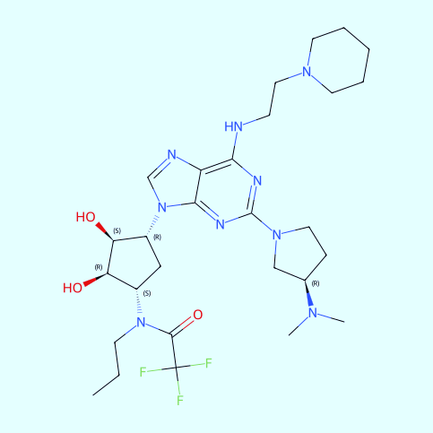 CCCN(C(=O)C(F)(F)F)[C@H]1C[C@@H](n2cnc3c(NCCN4CCCCC4)nc(N4CC[C@@H](N(C)C)C4)nc32)[C@H](O)[C@@H]1O